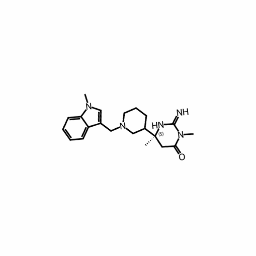 CN1C(=N)N[C@](C)(C2CCCN(Cc3cn(C)c4ccccc34)C2)CC1=O